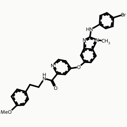 COc1ccc(CCNC(=O)c2cc(Oc3ccc4c(c3)nc(Nc3ccc(Br)cc3)n4C)ccn2)cc1